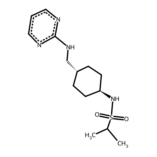 CC(C)S(=O)(=O)N[C@H]1CC[C@H](CNc2ncccn2)CC1